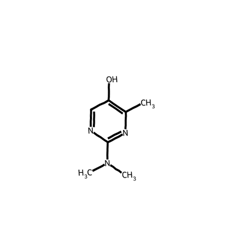 Cc1nc(N(C)C)ncc1O